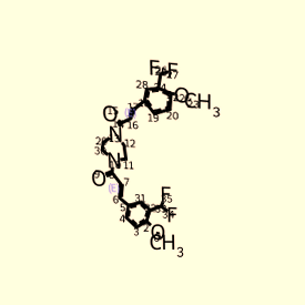 COc1ccc(/C=C/C(=O)N2CCN(C(=O)/C=C/c3ccc(OC)c(C(F)F)c3)CC2)cc1C(F)F